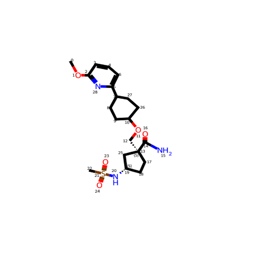 COc1cccc(C2CCC(OC[C@]3(C(N)=O)CC[C@H](NS(C)(=O)=O)C3)CC2)n1